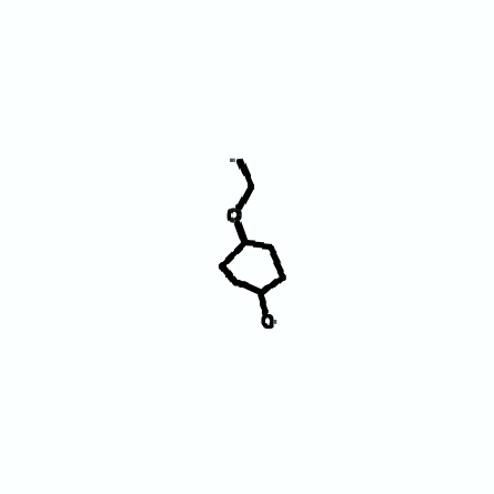 [CH2]COC1CCC([O])CC1